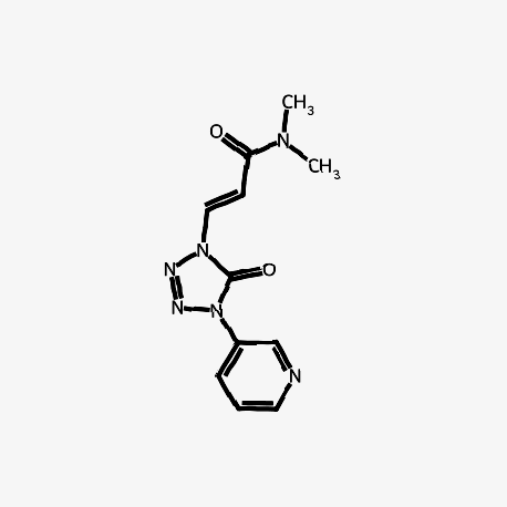 CN(C)C(=O)C=Cn1nnn(-c2cccnc2)c1=O